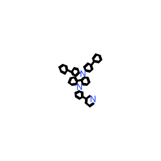 c1ccc(-c2ccc(N(c3ccc(-c4ccccc4)cc3)c3cccc4c3c3ccccc3n4-c3cccc(-c4cccnc4)c3)cc2)cc1